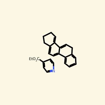 C1=c2c(ccc3c2=CCc2ccccc2-3)CCC1.CCOC(=O)c1ccncc1